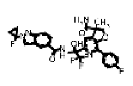 C[C@]1(C(N)=O)COc2c1cc(C(O)(CNC(=O)c1ccc3nn(C4(F)CC4)cc3c1)C(F)(F)F)nc2-c1ccc(F)cc1